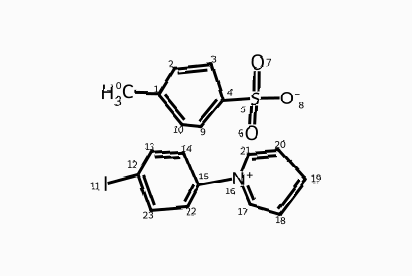 Cc1ccc(S(=O)(=O)[O-])cc1.Ic1ccc(-[n+]2ccccc2)cc1